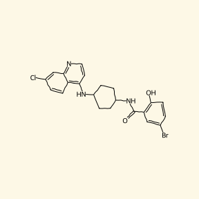 O=C(NC1CCC(Nc2ccnc3cc(Cl)ccc23)CC1)c1cc(Br)ccc1O